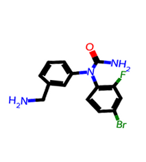 NCc1cccc(N(C(N)=O)c2ccc(Br)cc2F)c1